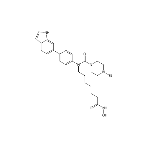 CCN1CCN(C(=O)N(CCCCCCC(=O)NO)c2ccc(-c3ccc4cc[nH]c4c3)cc2)CC1